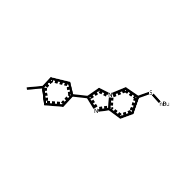 CCCCSc1ccc2nc(-c3ccc(C)cc3)cn2c1